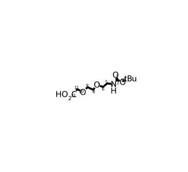 CC(C)(C)OC(=O)NCCOCCOCC(=O)O